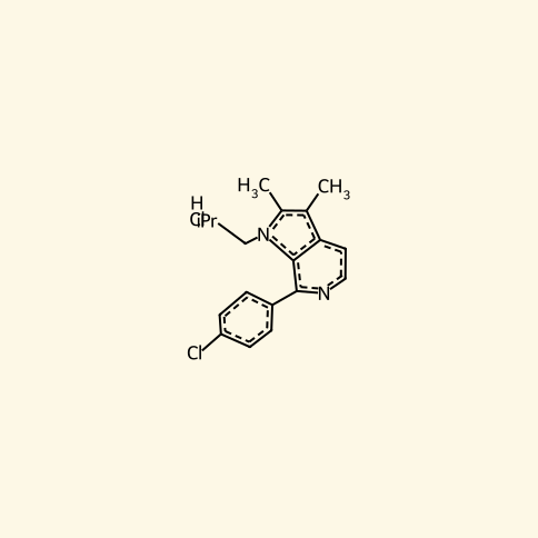 Cc1c(C)n(CC(C)C)c2c(-c3ccc(Cl)cc3)nccc12.Cl